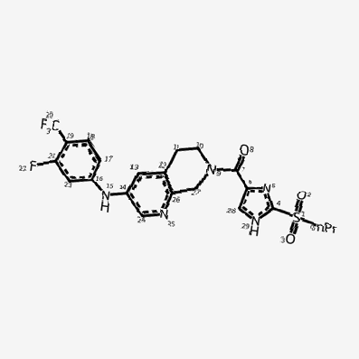 CCCS(=O)(=O)c1nc(C(=O)N2CCc3cc(Nc4ccc(C(F)(F)F)c(F)c4)cnc3C2)c[nH]1